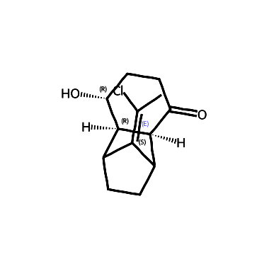 C/C(Cl)=C1/C2CCC1[C@@H]1C(=O)CC[C@@H](O)[C@H]21